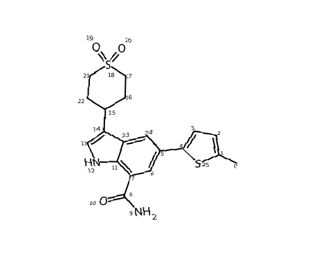 Cc1ccc(-c2cc(C(N)=O)c3[nH]cc(C4CCS(=O)(=O)CC4)c3c2)s1